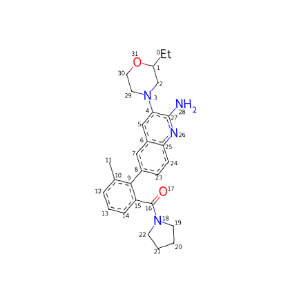 CCC1CN(c2cc3cc(-c4c(C)cccc4C(=O)N4CCCC4)ccc3nc2N)CCO1